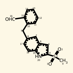 CS(=O)(=O)c1cc2cc(Cc3ccccc3C=O)ccc2[nH]1